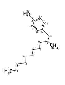 CCCCCCCCCC(C)Cc1ccc(O)cc1